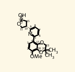 COc1ccc(-c2cccc([C@@H]3COB(O)C3)n2)c2c1OC(C)(C)CO2